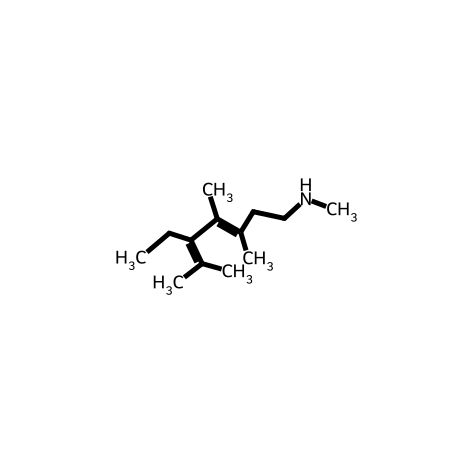 CCC(=C(C)C)/C(C)=C(\C)CCNC